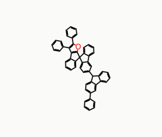 c1ccc(-c2ccc3c(c2)-c2ccccc2C3c2ccc3c(c2)-c2ccccc2C32c3ccccc3-c3c2oc(-c2ccccc2)c3-c2ccccc2)cc1